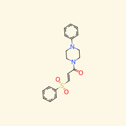 O=C(C=CS(=O)(=O)c1ccccc1)N1CCN(c2ccccc2)CC1